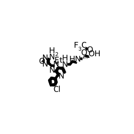 CCn1c(-c2nonc2N)nc2c(-c3cccc(Cl)c3)ncc(NCCCNC[C@@H](CO)OC(=O)C(F)(F)F)c21